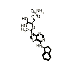 C[C@@H](O[C@H](COS(N)(=O)=O)C(O)O)n1cnc2c(N[C@H]3CCc4ccccc43)ncnc21